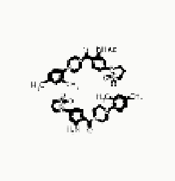 CC(=O)Nc1cc(N2CCCS2(=O)=O)ccc1C(=O)N1CCN(c2ccc(C)cc2C)CC1.Cc1ccc(N2CCN(C(=O)c3ccc(N4CCCS4(=O)=O)cc3N)CC2)c(C)c1